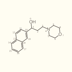 OC(CCN1CCOCC1)c1ccc2ccccc2c1